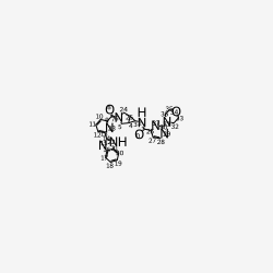 O=C(NC1C2CN(C(=O)c3cccc(-c4nc5ccccc5[nH]4)n3)CC21)c1ccnc(N2CCOCC2)n1